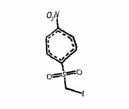 O=[N+]([O-])c1ccc(S(=O)(=O)CI)cc1